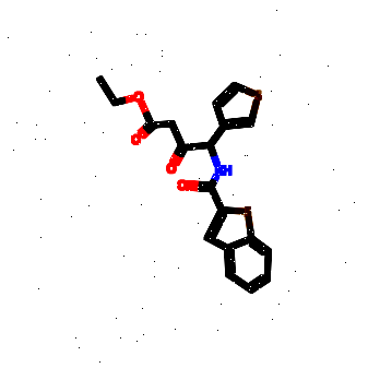 CCOC(=O)CC(=O)C(NC(=O)c1cc2ccccc2s1)c1ccsc1